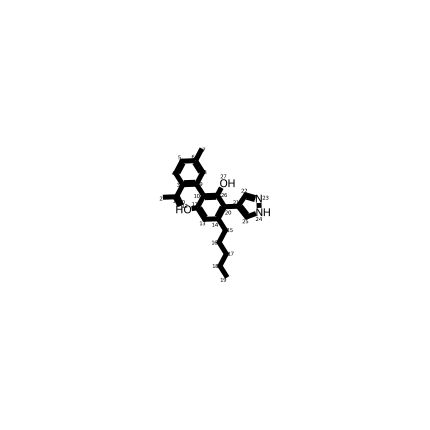 C=C(C)c1ccc(C)cc1-c1c(O)cc(CCCCC)c(-c2cn[nH]c2)c1O